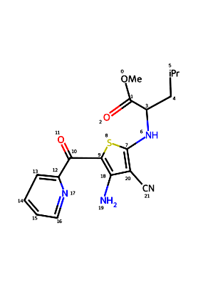 COC(=O)C(CC(C)C)Nc1sc(C(=O)c2ccccn2)c(N)c1C#N